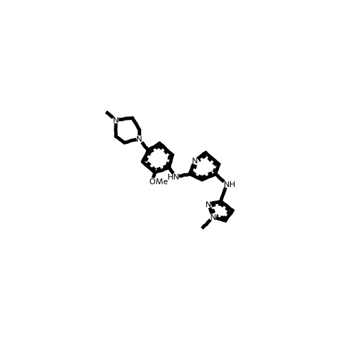 COc1cc(N2CCN(C)CC2)ccc1Nc1cc(Nc2ccn(C)n2)ccn1